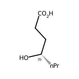 CCC[C@H](O)CCC(=O)O